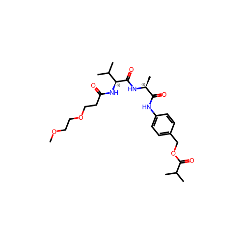 COCCOCCC(=O)N[C@H](C(=O)N[C@@H](C)C(=O)Nc1ccc(COC(=O)C(C)C)cc1)C(C)C